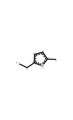 Cc1ccc(CI)o1